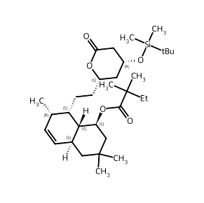 CCC(C)(C)C(=O)O[C@H]1CC(C)(C)C[C@H]2C=C[C@H](C)[C@H](CC[C@H]3C[C@@H](O[Si](C)(C)C(C)(C)C)CC(=O)O3)[C@@H]21